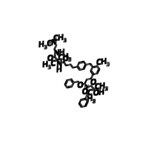 Cc1ccc(C2CC(OCc3ccccc3)[C@H](OCc3ccccc3)C(C(C)(C)O)O2)cc1Cc1ccc(CCCC(=O)NC(C)(C)C(=O)NCCN(C)C)cc1